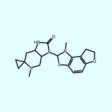 CN1c2c(ccc3c2CCO3)SC1N1C(=O)NC2CC3(CC3)N(C)CC21